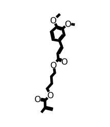 C=C(C)C(=O)OCCCCOC(=O)C=Cc1ccc(OC)c(OC)c1